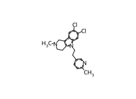 Cc1ccc(CCn2c3c(c4cc(Cl)c(Cl)cc42)CN(C)CC3)cn1